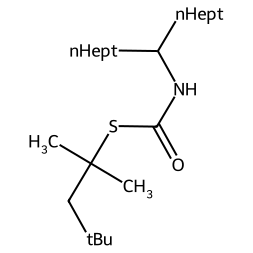 CCCCCCCC(CCCCCCC)NC(=O)SC(C)(C)CC(C)(C)C